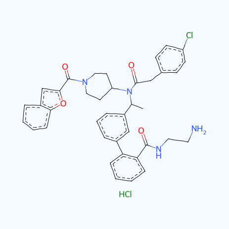 CC(c1cccc(-c2ccccc2C(=O)NCCN)c1)N(C(=O)Cc1ccc(Cl)cc1)C1CCN(C(=O)c2cc3ccccc3o2)CC1.Cl